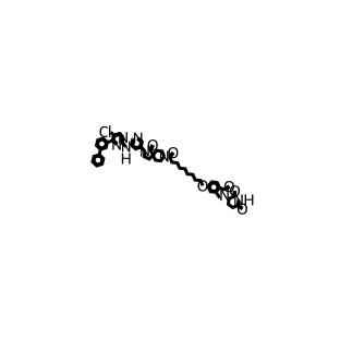 O=C1CCC(N2Cc3cc(OCCCCCCCCC(=O)N4CCC5(CC4)CCN(c4cncc(Nc6ncc(Cl)c(-c7cccc(-c8ccccc8)c7)n6)c4)C5=O)ccc3C2=O)C(=O)N1